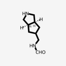 O=CNCC1C[C@H]2CNC[C@H]2C1